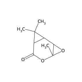 CC12OC(=O)C3C(C1O2)C3(C)C